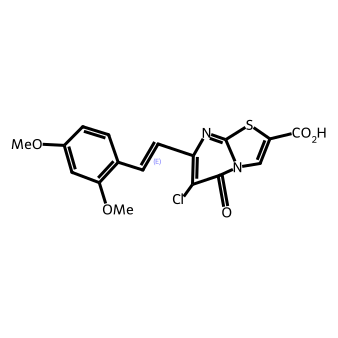 COc1ccc(/C=C/c2nc3sc(C(=O)O)cn3c(=O)c2Cl)c(OC)c1